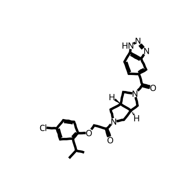 CC(C)c1cc(Cl)ccc1OCC(=O)N1C[C@@H]2CN(C(=O)c3ccc4[nH]nnc4c3)C[C@H]2C1